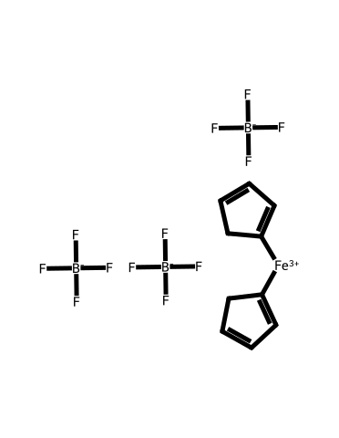 C1=CC[C]([Fe+3][C]2=CC=CC2)=C1.F[B-](F)(F)F.F[B-](F)(F)F.F[B-](F)(F)F